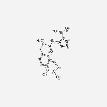 CC(Cc1ccc2c(Cl)c(O)ccc2c1)C(=O)Nc1ccsc1C(=O)O